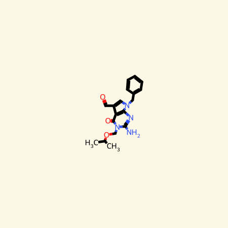 CC(C)OCn1c(N)nc2c(c(C=O)cn2Cc2ccccc2)c1=O